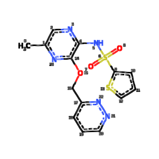 Cc1cnc(NS(=O)(=O)c2cccs2)c(OCc2cccnn2)n1